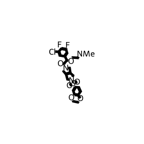 CNCCOC(C(=O)N1CC2=C(C1)CN(S(=O)(=O)c1ccc3c(c1)OCCO3)C2)c1cc(F)c(F)c(Cl)c1